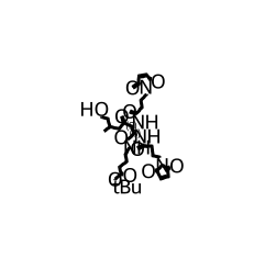 CC(CCO)CC(=O)[C@@H](NC(=O)CCCN1C(=O)C=CC1=O)[C@H](NC(=O)CCCN1C(=O)C=CC1=O)C(=O)NCCCC(=O)OC(C)(C)C